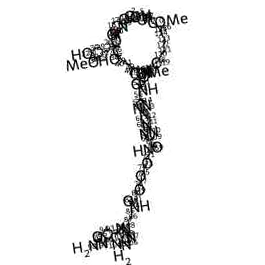 CO[C@H]1C[C@@H]2CC[C@@H](C)[C@@](O)(O2)C(=O)C(=O)N2CCCC[C@H]2C(=O)O[C@H]([C@H](C)C[C@@H]2CC[C@@H](O)[C@H](OC)C2)C[C@@H](O)[C@H](C)/C=C(\C)[C@@H](O)[C@@H](OC)C(=NOCC(=O)NCc2cnc(N3CCN(c4ncc(C(=O)NCCOCCOCCOCCC(=O)NCCCCn5nc(-c6ccc7oc(N)nc7c6)c6c(N)ncnc65)cn4)CC3)nc2)[C@H](C)C[C@H](C)/C=C/C=C/C=C/1C